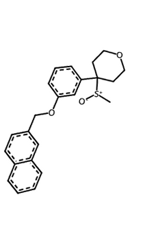 C[S+]([O-])C1(c2cccc(OCc3ccc4ccccc4c3)c2)CCOCC1